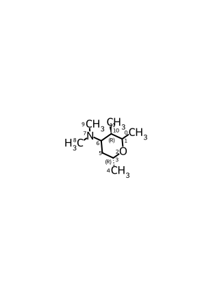 CC1O[C@H](C)CC(N(C)C)[C@H]1C